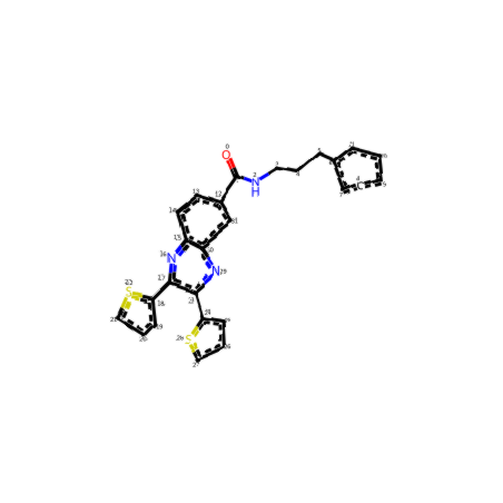 O=C(NCCCc1ccccc1)c1ccc2nc(-c3cccs3)c(-c3cccs3)nc2c1